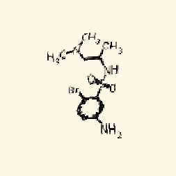 CC(CN(C)C)NS(=O)(=O)c1cc(N)ccc1Br